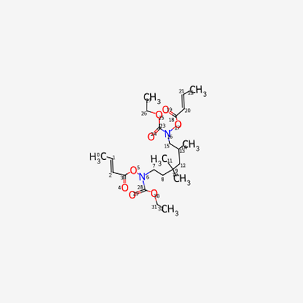 CC=CC(=O)ON(CCC(C)(C)CC(C)CN(OC(=O)C=CC)C(=O)OCC)C(=O)OCC